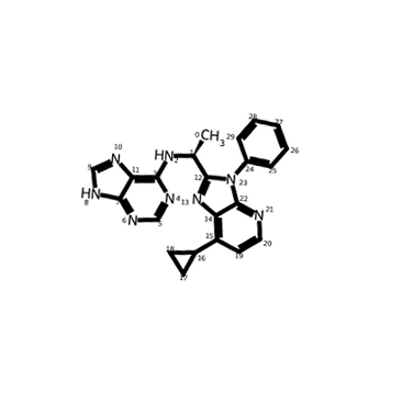 C[C@H](Nc1ncnc2[nH]cnc12)c1nc2c(C3CC3)ccnc2n1-c1ccccc1